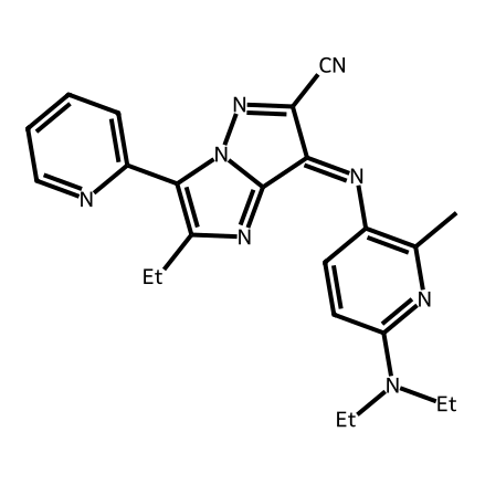 CCc1nc2n(c1-c1ccccn1)N=C(C#N)/C2=N/c1ccc(N(CC)CC)nc1C